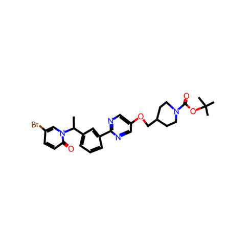 CC(c1cccc(-c2ncc(OCC3CCN(C(=O)OC(C)(C)C)CC3)cn2)c1)n1cc(Br)ccc1=O